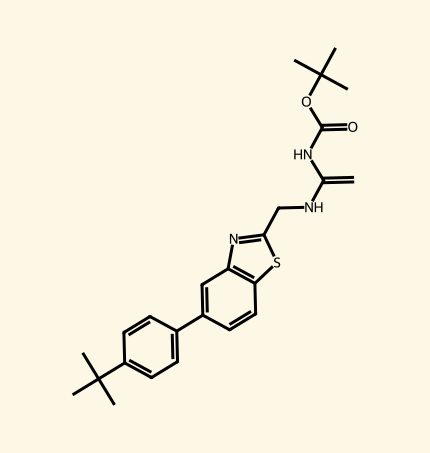 C=C(NCc1nc2cc(-c3ccc(C(C)(C)C)cc3)ccc2s1)NC(=O)OC(C)(C)C